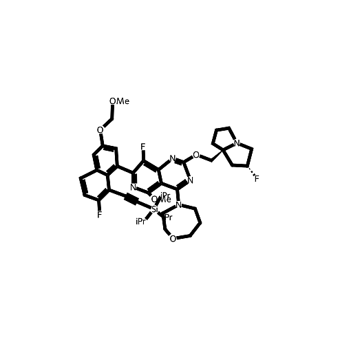 COCOc1cc(-c2nc(OC)c3c(N4CCCOCC4)nc(OC[C@@]45CCCN4C[C@H](F)C5)nc3c2F)c2c(C#C[Si](C(C)C)(C(C)C)C(C)C)c(F)ccc2c1